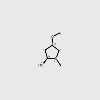 CO[C@@H]1C[C@H](O)N(C)C1